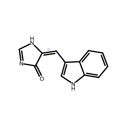 O=C1N=CN/C1=C/c1c[nH]c2ccccc12